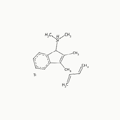 C=CC=C.CC1=C(C)C([SiH](C)C)c2ccccc21.[Ti]